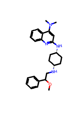 COC(CN[C@H]1CC[C@@H](Nc2cc(N(C)C)c3ccccc3n2)CC1)c1ccccc1